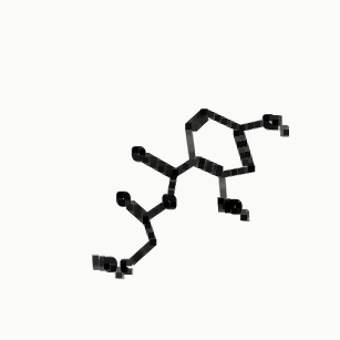 O=C(O)CC(=O)OC(=O)c1ccc(C(F)(F)F)cc1[N+](=O)[O-]